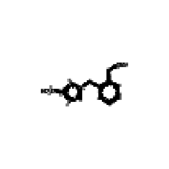 COCc1ccccc1Cn1cnc(C(=O)O)n1